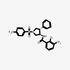 O=C(N[C@H]1CN(S(=O)(=O)c2ccc(C(F)(F)F)cc2)C[C@@H]1c1ccccc1)c1cccc(C(F)(F)F)c1Cl